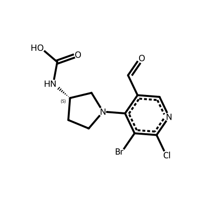 O=Cc1cnc(Cl)c(Br)c1N1CC[C@H](NC(=O)O)C1